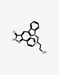 O=C1NN=C(c2ccncc2)/C1=C\c1cn(CCCCO)c2ccccc12